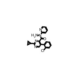 NN(C(=O)c1nc(C2CC2)ncc1-c1ccccc1Cl)c1ccccn1